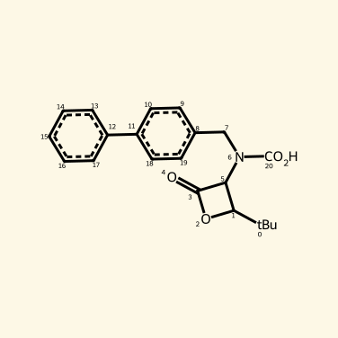 CC(C)(C)C1OC(=O)C1N(Cc1ccc(-c2ccccc2)cc1)C(=O)O